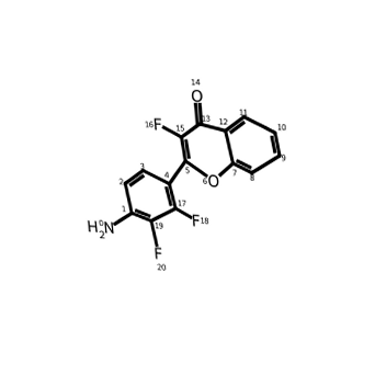 Nc1ccc(-c2oc3ccccc3c(=O)c2F)c(F)c1F